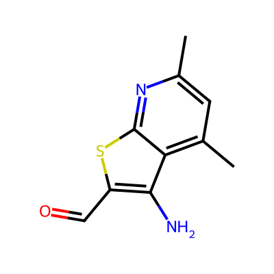 Cc1cc(C)c2c(N)c(C=O)sc2n1